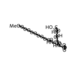 COCCOCCOCCOCCOCCOCCOCCOCCOCCOCC(=O)NCCCC[C@H](NC(=O)CCCN1C(=O)C=CC1=O)C(=O)NCCCC(=O)NCCNC(=O)OCC(=O)O